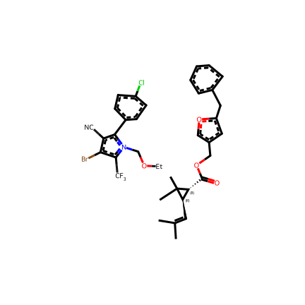 CC(C)=C[C@@H]1[C@@H](C(=O)OCc2coc(Cc3ccccc3)c2)C1(C)C.CCOCn1c(-c2ccc(Cl)cc2)c(C#N)c(Br)c1C(F)(F)F